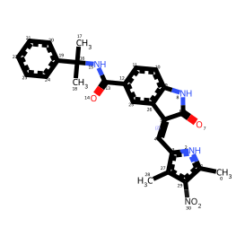 Cc1[nH]c(/C=C2\C(=O)Nc3ccc(C(=O)NC(C)(C)c4ccccc4)cc32)c(C)c1[N+](=O)[O-]